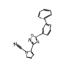 N#CN1CCC=C1c1noc(-c2ccnc(-c3ccccc3)c2)n1